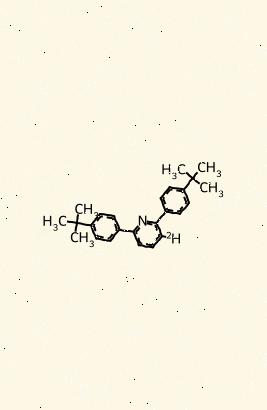 [2H]c1ccc(-c2ccc(C(C)(C)C)cc2)nc1-c1ccc(C(C)(C)C)cc1